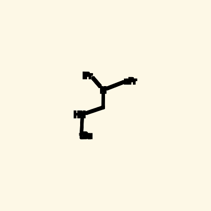 CCCN(CNC(C)(C)C)C(C)C